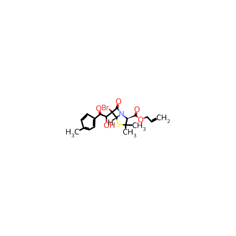 C=CCOC(=O)[C@@H]1N2C(=O)C(Br)(C(O)C(=O)c3ccc(C)cc3)[C@H]2SC1(C)C